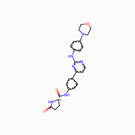 O=C1CC[C@@H](C(=O)Nc2ccc(-c3ccnc(Nc4ccc(N5CCOCC5)cc4)n3)cc2)N1